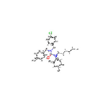 CCCCCCN(C(=O)N(Cc1ccc(C)cc1)Cc1ccc(Cl)cc1)c1ccc(C)cc1C